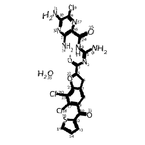 NC(=NC(=O)C1Cc2cc(C(=O)c3cccs3)c(Cl)c(Cl)c2O1)NC(=O)c1nc(Cl)c(N)nc1N.O